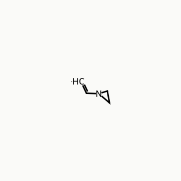 [CH]=CN1CC1